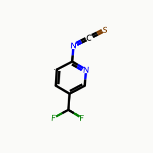 FC(F)c1c[c]c(N=C=S)nc1